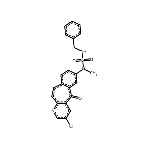 CN(c1ccc2ccc3ncc(Cl)cc3c(=O)c2c1)S(=O)(=O)NCc1ccccc1